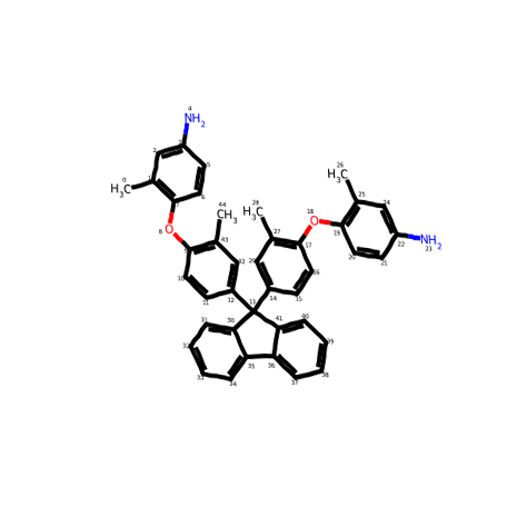 Cc1cc(N)ccc1Oc1ccc(C2(c3ccc(Oc4ccc(N)cc4C)c(C)c3)c3ccccc3-c3ccccc32)cc1C